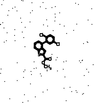 COC(=O)c1cc2c(-c3cc(Cl)ccc3Cl)cccc2s1